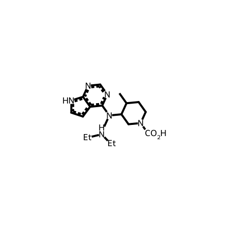 CC1CCN(C(=O)O)CC1N(C)c1ncnc2[nH]ccc12.CCNCC